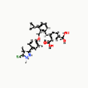 Cc1cc(-c2nn(C)c(Cl)c2C)ccc1OCc1c(Cc2ccc(C(=O)O)cc2C(=O)O)cccc1C1CC1